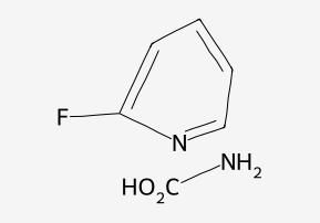 Fc1ccccn1.NC(=O)O